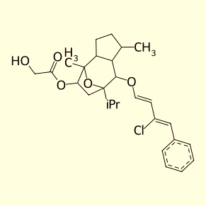 CC1CCC2C1C(OC=CC(Cl)=Cc1ccccc1)C1(C(C)C)CC(OC(=O)CO)C2(C)O1